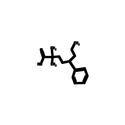 CCCC(CCC(C)(C)C(=O)O)c1ccccc1